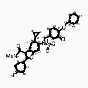 CNC(=O)c1c(-c2ccc(F)cc2)oc2cc(N(Cc3ccc(OCc4ccccc4)c(Cl)c3)[SH](=O)=O)c(C3CC3)cc12